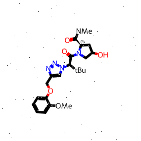 CNC(=O)[C@H]1CC(O)CN1C(=O)C(n1cc(COc2ccccc2OC)nn1)C(C)(C)C